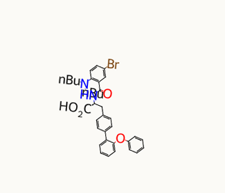 CCCCN(CCCC)c1ccc(Br)cc1C(=O)N[C@@H](Cc1ccc(-c2ccccc2Oc2ccccc2)cc1)C(=O)O